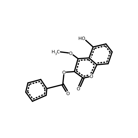 COc1c(OC(=O)c2ccccc2)c(=O)oc2cccc(O)c12